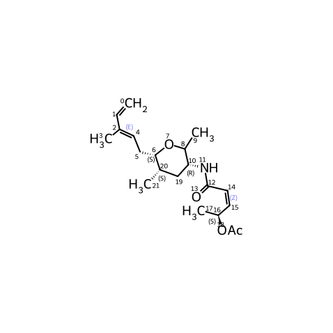 C=C/C(C)=C/C[C@@H]1OC(C)[C@H](NC(=O)/C=C\[C@H](C)OC(C)=O)C[C@@H]1C